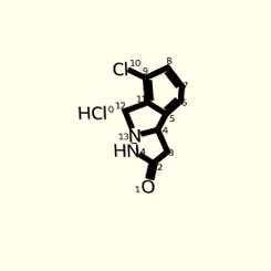 Cl.O=C1CC2c3cccc(Cl)c3CN2N1